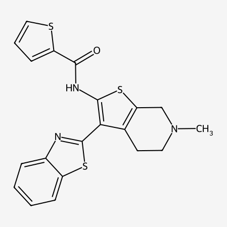 CN1CCc2c(sc(NC(=O)c3cccs3)c2-c2nc3ccccc3s2)C1